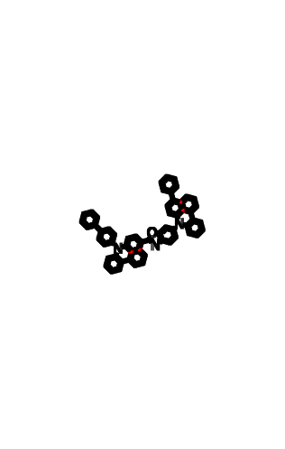 c1ccc(-c2ccc(N(c3ccc(-c4nc5ccc(N(c6ccc(-c7ccccc7)cc6)c6ccccc6-c6ccccc6)cc5o4)cc3)c3ccccc3-c3ccccc3)cc2)cc1